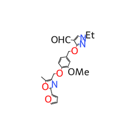 CCn1cc(C=O)c(OCc2ccc(OCc3nc(-c4ccco4)oc3C)c(OC)c2)n1